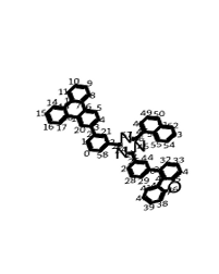 c1cc(-c2ccc3c4ccccc4c4ccccc4c3c2)cc(-c2nc(-c3cccc(-c4cccc5oc6ccccc6c45)c3)nc(-c3cccc4ccccc34)n2)c1